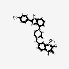 Cc1ccc(-c2nc3c(N4CCN(Cc5ccc6[nH]c(=O)c(=O)n(C)c6c5)[CH]([Ru])C4)cccc3[nH]2)cc1